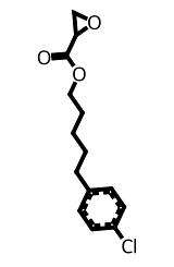 O=C(OCCCCCc1ccc(Cl)cc1)C1CO1